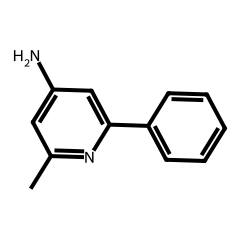 Cc1cc(N)cc(-c2ccccc2)n1